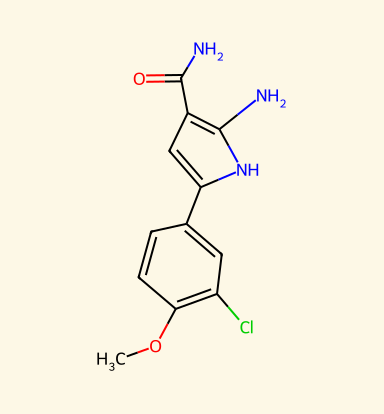 COc1ccc(-c2cc(C(N)=O)c(N)[nH]2)cc1Cl